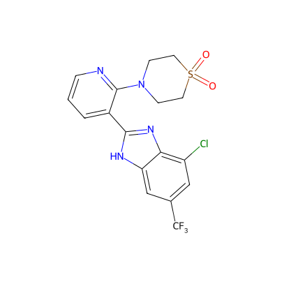 O=S1(=O)CCN(c2ncccc2-c2nc3c(Cl)cc(C(F)(F)F)cc3[nH]2)CC1